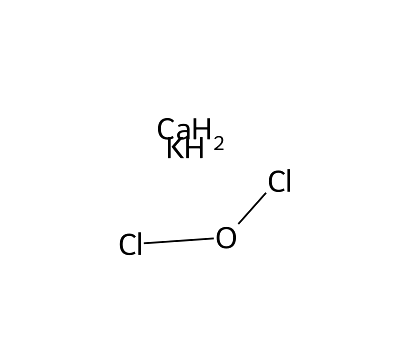 ClOCl.[CaH2].[KH]